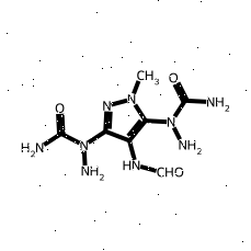 Cn1nc(N(N)C(N)=O)c(NC=O)c1N(N)C(N)=O